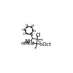 CCCCCCCCC(C)(CCCCCC)C(C)(Cl)Cc1ccccc1.N